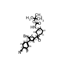 CC(C)(C)OC(=O)N[C@@H]1CCCN(C(=O)c2cc(-c3ccc(C#N)c(F)c3)c(Br)s2)C1